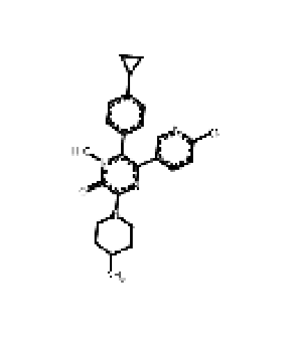 Cn1c(-c2ccc(C3CC3)cc2)c(-c2ccc(C#N)nc2)nc(N2CCC(N)CC2)c1=O